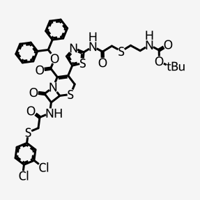 CC(C)(C)OC(=O)NCCSCC(=O)Nc1ncc(C2=C(C(=O)OC(c3ccccc3)c3ccccc3)N3C(=O)C(NC(=O)CSc4ccc(Cl)c(Cl)c4)C3SC2)s1